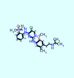 COc1cc(CCNC(C)C)c(C)cc1Nc1ncc(Cl)c(Nc2ccccc2P(C)(C)=O)n1